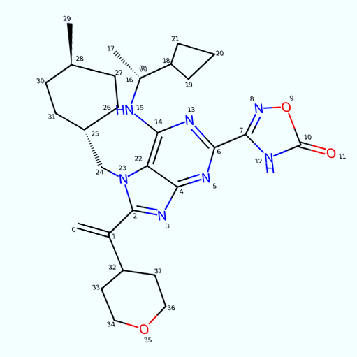 C=C(c1nc2nc(-c3noc(=O)[nH]3)nc(N[C@H](C)C3CCC3)c2n1C[C@H]1CC[C@H](C)CC1)C1CCOCC1